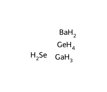 [BaH2].[GaH3].[GeH4].[SeH2]